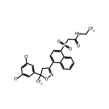 O=C(CS(=O)(=O)c1ccc(C2=NOC(c3cc(Cl)cc(Cl)c3)(C(F)(F)F)C2)c2ccccc12)NCC(F)(F)F